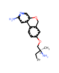 CC(C)C[C@](C)(N)COc1ccc2c(c1)COc1cnc(N)cc1-2